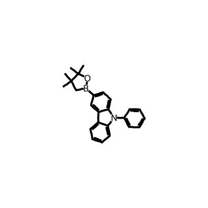 CC1(C)CB(c2ccc3c(c2)c2ccccc2n3-c2ccccc2)OC1(C)C